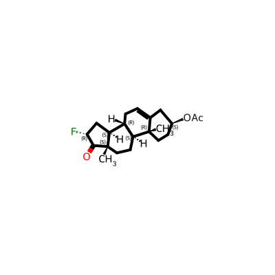 CC(=O)O[C@H]1CC[C@@]2(C)C(=CC[C@@H]3[C@@H]2CC[C@]2(C)C(=O)[C@H](F)C[C@@H]32)C1